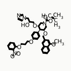 COc1cc(CO[C@H]2CN(C(=O)OC(C)(C)C)C[C@@H](OC[C@H](O)Cn3ccnc3)[C@@H]2c2ccc(OCCCOc3ccccc3[N+](=O)[O-])cc2)cc2ccccc12